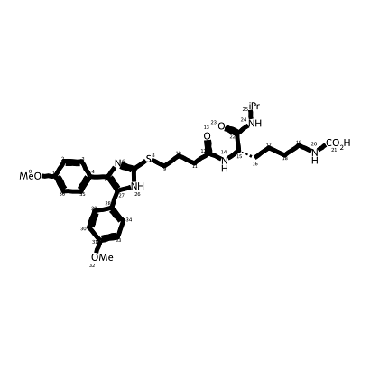 COc1ccc(-c2nc(SCCCC(=O)N[C@@H](CCCCNC(=O)O)C(=O)NC(C)C)[nH]c2-c2ccc(OC)cc2)cc1